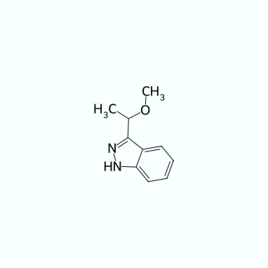 COC(C)c1n[nH]c2ccccc12